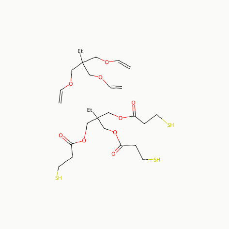 C=COCC(CC)(COC=C)COC=C.CCC(COC(=O)CCS)(COC(=O)CCS)COC(=O)CCS